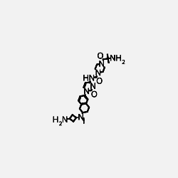 CC(C)(N)C(=O)N1CCN(C(=O)Nc2ccn(-c3ccc4c(c3)CCC(N(I)[C@H]3C[C@H](N)C3)C4)c(=O)n2)CC1